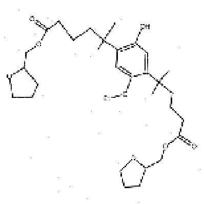 CCOc1cc(C(C)(C)CCCC(=O)OCC2CCCO2)c(O)cc1C(C)(C)CCCC(=O)OCC1CCCO1